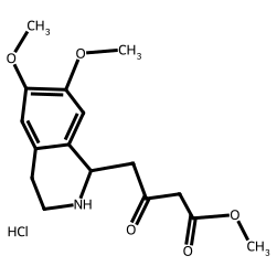 COC(=O)CC(=O)CC1NCCc2cc(OC)c(OC)cc21.Cl